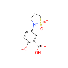 COc1ccc(N2CCCS2(=O)=O)cc1C(=O)O